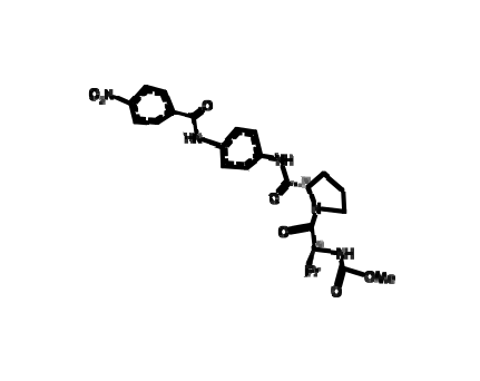 COC(=O)N[C@H](C(=O)N1CCC[C@H]1C(=O)Nc1ccc(NC(=O)c2ccc([N+](=O)[O-])cc2)cc1)C(C)C